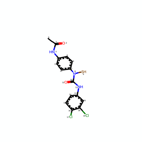 CC(=O)Nc1ccc(N(S)C(=O)Nc2ccc(Cl)c(Cl)c2)cc1